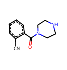 N#Cc1ccccc1C(=O)N1CCNCC1